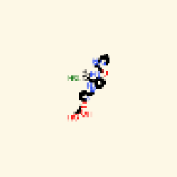 CCc1nn(Cc2cccc(OCC(O)CO)n2)c2cccc(NC(=O)c3cnc4ccccn34)c12.Cl.Cl